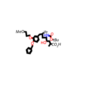 COCCCOc1cc(CC(CC(NC(=O)OC(C)(C)C)C(O)CC(C)C(=O)O)C(C)C)ccc1OCc1ccccc1